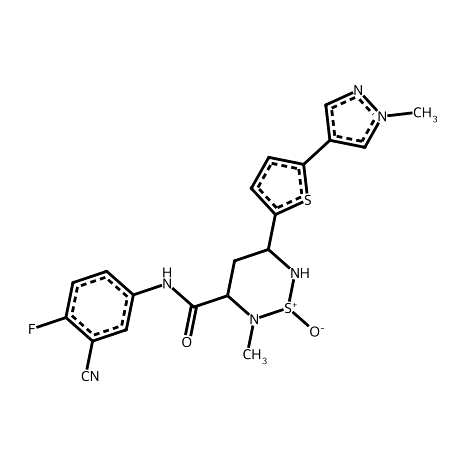 CN1C(C(=O)Nc2ccc(F)c(C#N)c2)CC(c2ccc(-c3cnn(C)c3)s2)N[S+]1[O-]